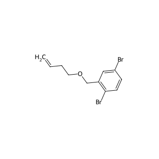 C=CCCOCc1cc(Br)ccc1Br